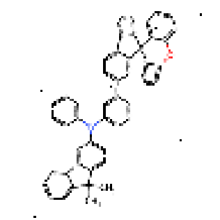 CC1(C)c2ccccc2-c2cc(N(c3ccccc3)c3cccc(-c4ccc5c(c4)C4(c6ccccc6Oc6ccccc64)c4ccccc4-5)c3)ccc21